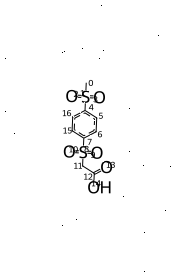 CS(=O)(=O)c1ccc(S(=O)(=O)CC(=O)O)cc1